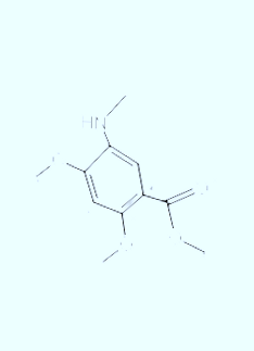 CNc1cc(C(=O)OC)c(OC)cc1OC